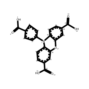 O=C(O)c1ccc(N2c3ccc(C(=O)O)cc3Oc3cc(C(=O)O)ccc32)cc1